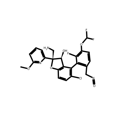 COc1cccc([C@@]2(CN)Oc3ccc(Cl)c(-c4c(CN=O)ccc(OC(F)F)c4F)c3[C@@H]2O)n1